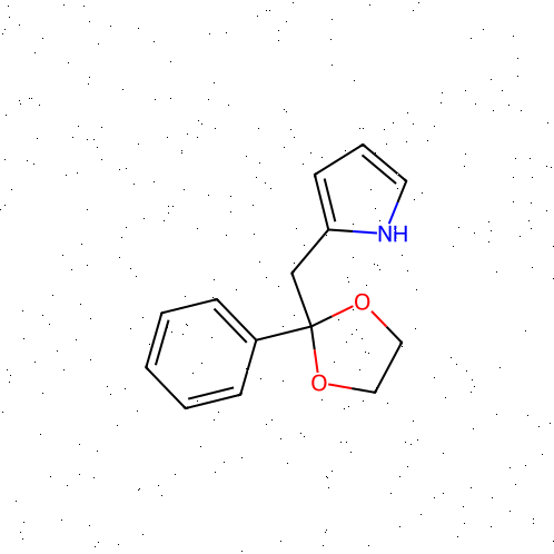 c1ccc(C2(Cc3ccc[nH]3)OCCO2)cc1